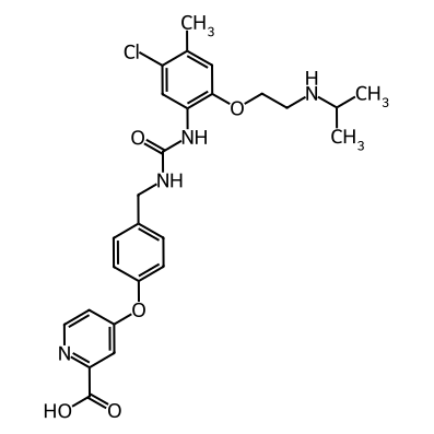 Cc1cc(OCCNC(C)C)c(NC(=O)NCc2ccc(Oc3ccnc(C(=O)O)c3)cc2)cc1Cl